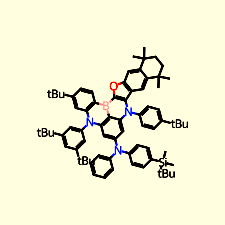 CC(C)(C)c1ccc(N2c3cc(N(c4ccccc4)c4ccc([Si](C)(C)C(C)(C)C)cc4)cc4c3B(c3ccc(C(C)(C)C)cc3N4c3cc(C(C)(C)C)cc(C(C)(C)C)c3)c3oc4cc5c(cc4c32)C(C)(C)CCC5(C)C)cc1